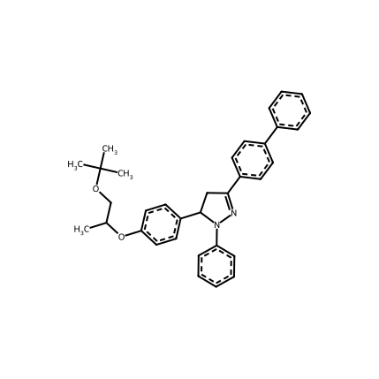 CC(COC(C)(C)C)Oc1ccc(C2CC(c3ccc(-c4ccccc4)cc3)=NN2c2ccccc2)cc1